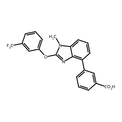 Cn1c(Oc2cccc(C(F)(F)F)c2)nc2c(-c3cccc(C(=O)O)c3)cccc21